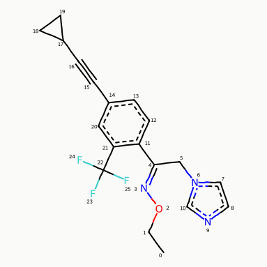 CCO/N=C(\Cn1ccnc1)c1ccc(C#CC2CC2)cc1C(F)(F)F